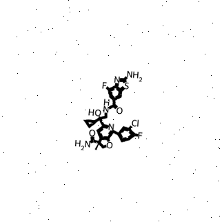 C[C@]1(C(N)=O)COc2c1cc([C@@](O)(CNC(=O)c1cc(F)c3nc(N)sc3c1)C1CC1)nc2-c1ccc(F)c(Cl)c1